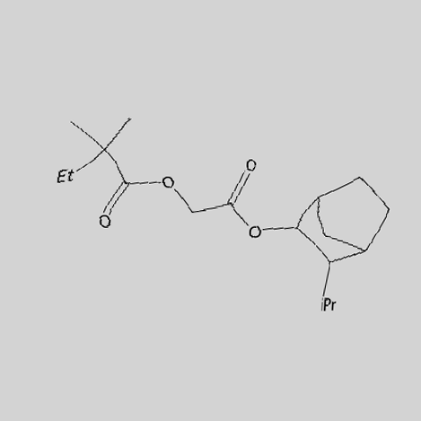 CCC(C)(C)C(=O)OCC(=O)OC1C2CCC(C2)C1C(C)C